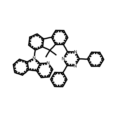 CC1(C)c2c(-c3nc(-c4ccccc4)nc(-c4ccccc4)n3)cccc2-c2cccc(-n3c4ccccc4c4cccnc43)c21